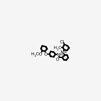 COc1ccccc1Oc1ccc(NC(=O)c2ccccc2Nc2cccc(Cl)c2C)cc1